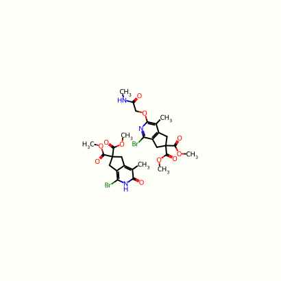 CNC(=O)COc1nc(Br)c2c(c1C)CC(C(=O)OC)(C(=O)OC)C2.COC(=O)C1(C(=O)OC)Cc2c(Br)[nH]c(=O)c(C)c2C1